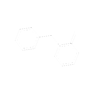 O=c1cc[c]cn1Cc1ccccc1